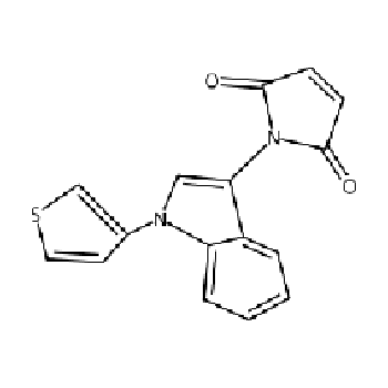 O=C1C=CC(=O)N1c1cn(-c2ccsc2)c2ccccc12